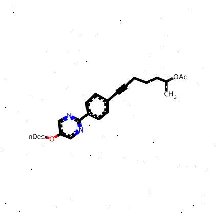 CCCCCCCCCCOc1cnc(-c2ccc(C#CCCCC(C)OC(C)=O)cc2)nc1